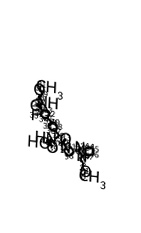 COCCCn1c([C@@H]2CCCN(C(=O)C[C@@H](Cc3ccc(-c4ccc(C(=O)NCCOC)c(F)c4)cc3)NC(=O)O)C2)nc2ccccc21